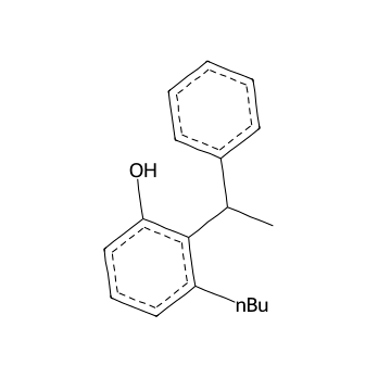 CCCCc1cccc(O)c1C(C)c1ccccc1